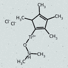 CC1=C(C)C(C)[C]([Ti+2][O][SiH](C)C)=C1C.[Cl-].[Cl-]